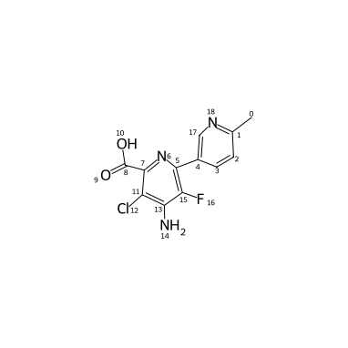 Cc1ccc(-c2nc(C(=O)O)c(Cl)c(N)c2F)cn1